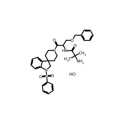 CC(C)(N)C(=O)NC(COCc1ccccc1)C(=O)N1CCC2(CC1)CN(S(=O)(=O)c1ccccc1)c1ccccc12.Cl